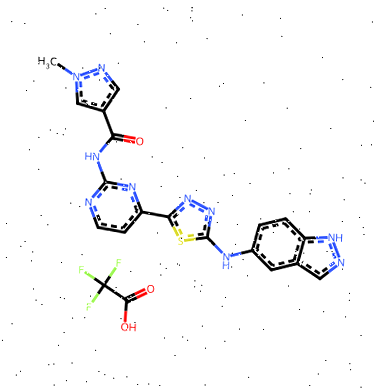 Cn1cc(C(=O)Nc2nccc(-c3nnc(Nc4ccc5[nH]ncc5c4)s3)n2)cn1.O=C(O)C(F)(F)F